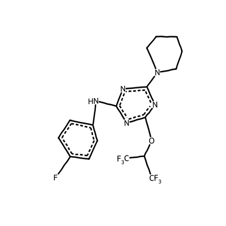 Fc1ccc(Nc2nc(OC(C(F)(F)F)C(F)(F)F)nc(N3CCCCC3)n2)cc1